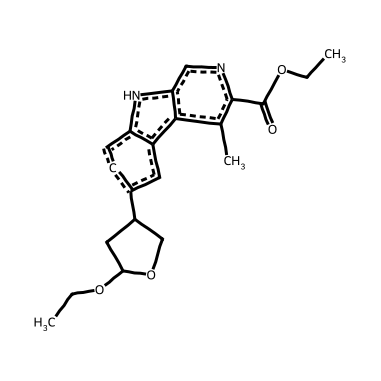 CCOC(=O)c1ncc2[nH]c3ccc(C4COC(OCC)C4)cc3c2c1C